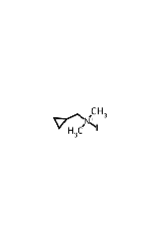 C[N+](C)(I)CC1CC1